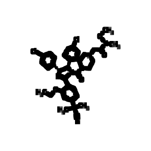 CCOc1cc(C(C)(C)C#N)ccc1C1=N[C@H](c2ccc(Cl)cc2)[C@@H](c2ccc(Cl)cc2)N1C(=O)N1CCN(CC(=O)N(C)OC)CC1